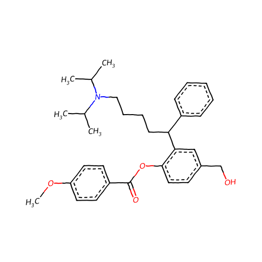 COc1ccc(C(=O)Oc2ccc(CO)cc2C(CCCCN(C(C)C)C(C)C)c2ccccc2)cc1